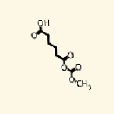 COC(=O)OC(=O)CCCCC(=O)O